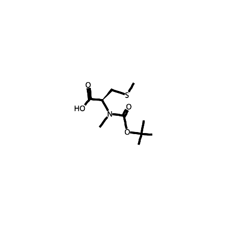 CSC[C@H](C(=O)O)N(C)C(=O)OC(C)(C)C